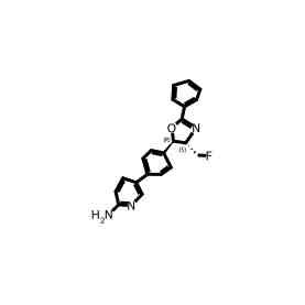 Nc1ccc(-c2ccc([C@H]3OC(c4ccccc4)=N[C@@H]3CF)cc2)cn1